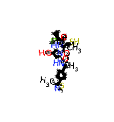 Cc1ncsc1-c1ccc([C@H](C)NC(=O)[C@@H]2C[C@@H](O)CN2C(=O)[C@@H](NC(=O)C2(F)CC2)C(C)(C)S)cc1